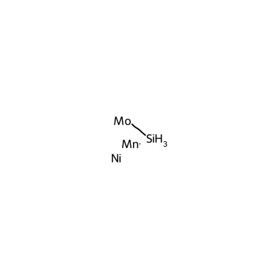 [Mn].[Ni].[SiH3][Mo]